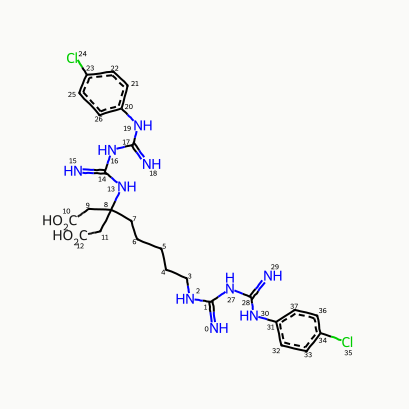 N=C(NCCCCCC(CC(=O)O)(CC(=O)O)NC(=N)NC(=N)Nc1ccc(Cl)cc1)NC(=N)Nc1ccc(Cl)cc1